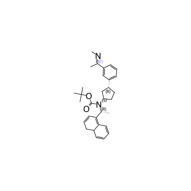 C/N=C(\C)c1cccc([C@@H]2CC[C@H](N(C(=O)OC(C)(C)C)[C@H](C)C3=C4C=CC=CC4CC=C3)C2)c1